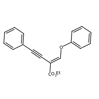 CCOC(=O)/C(C#Cc1ccccc1)=C/Oc1ccccc1